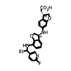 CCC(Nc1cccc2c1OC[C@H]2Nc1ccc2c(c1)OC[C@H]2CC(=O)O)c1ccc(F)nc1